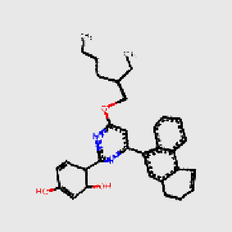 CCCCC(CC)COc1cc(-c2cc3c(c4ccccc24)C=CCC3)nc(C2C=CC(O)=CC2O)n1